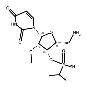 CO[C@H]1[C@@H](OP(=O)(S)C(C)C)[C@@H](CN)O[C@H]1n1ccc(=O)[nH]c1=O